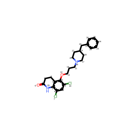 O=C1CCc2c(c(Cl)cc(Cl)c2OCCCN2CCC(Cc3ccccc3)CC2)N1